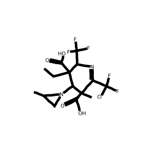 CCC1(C(=O)O)C(C(F)(F)F)N=C(C(F)(F)Cl)C(C)(C(=O)O)C1N1CC1C